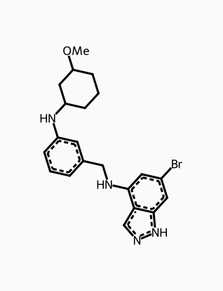 COC1CCCC(Nc2cccc(CNc3cc(Br)cc4[nH]ncc34)c2)C1